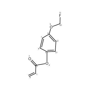 C=CC(=O)Oc1ccc(OCF)cc1